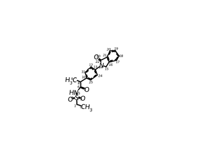 CCS(=O)(=O)NC(=O)C(C)c1ccc(N2Cc3ccccc3C2=O)cc1